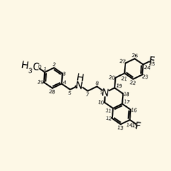 Cc1ccc(CNCCN2Cc3ccc(F)cc3CC2CC2=CC=C(F)CC2)cc1